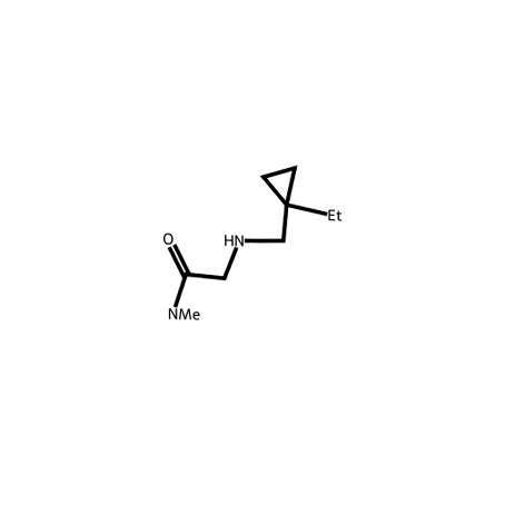 CCC1(CNCC(=O)NC)CC1